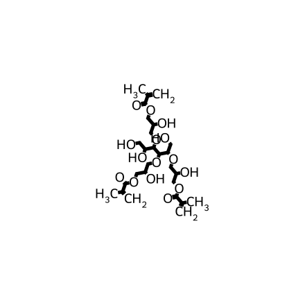 C=C(C)C(=O)OCC(O)COC(CO)C(OCC(O)COC(=O)C(=C)C)C(OCC(O)COC(=O)C(=C)C)C(O)CO